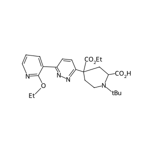 CCOC(=O)C1(c2ccc(-c3cccnc3OCC)nn2)CCN(C(C)(C)C)C(C(=O)O)C1